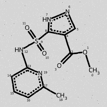 COC(=O)c1cn[nH]c1S(=O)(=O)Nc1cccc(C)n1